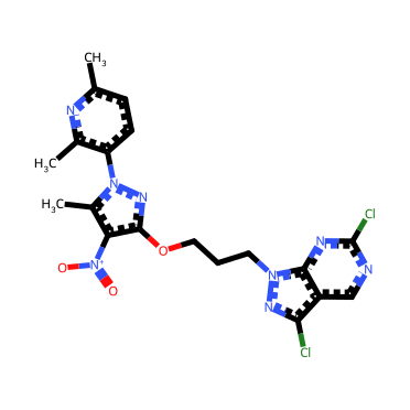 Cc1ccc(-n2nc(OCCCn3nc(Cl)c4cnc(Cl)nc43)c([N+](=O)[O-])c2C)c(C)n1